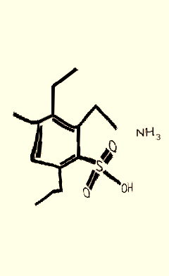 CCc1cc(C)c(CC)c(CC)c1S(=O)(=O)O.N